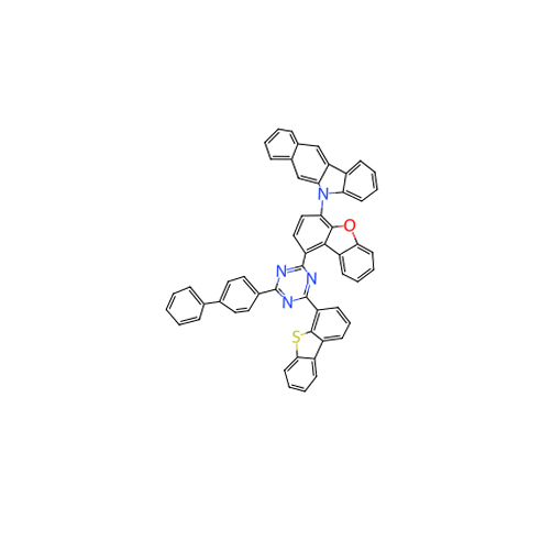 c1ccc(-c2ccc(-c3nc(-c4cccc5c4sc4ccccc45)nc(-c4ccc(-n5c6ccccc6c6cc7ccccc7cc65)c5oc6ccccc6c45)n3)cc2)cc1